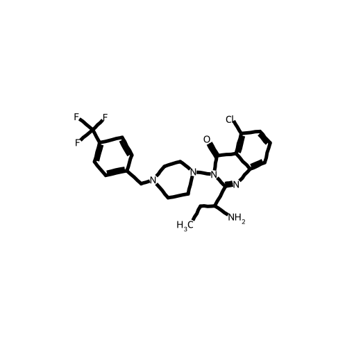 CCC(N)c1nc2cccc(Cl)c2c(=O)n1N1CCN(Cc2ccc(C(F)(F)F)cc2)CC1